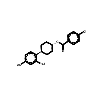 O=C(O[C@H]1CC[C@H](c2ccc(O)cc2O)CC1)c1ccc(Cl)cc1